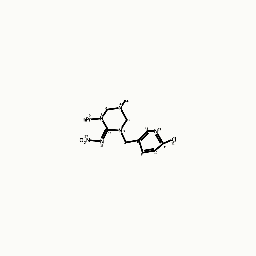 CCCN1CN(C)CN(Cc2ccc(Cl)nc2)C1=N[N+](=O)[O-]